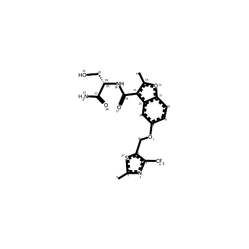 Cc1nc(C(F)(F)F)c(COc2ccc3oc(C)c(C(=O)N[C@@H](CO)C(N)=O)c3c2)s1